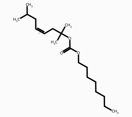 CCCCCCCCOC(=O)OC(C)(C)C/C=C\CC(C)C